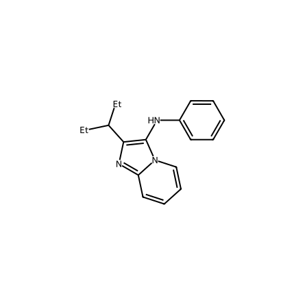 CCC(CC)c1nc2ccccn2c1Nc1ccccc1